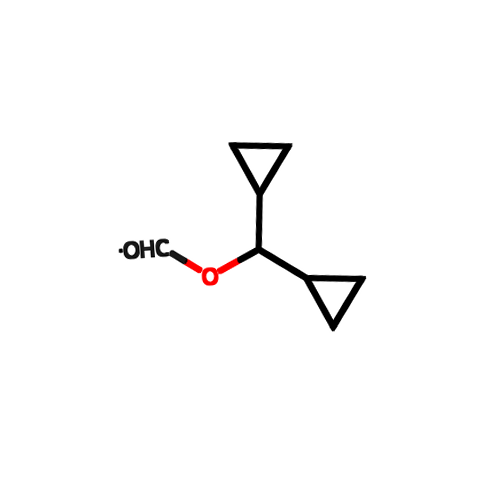 O=[C]OC(C1CC1)C1CC1